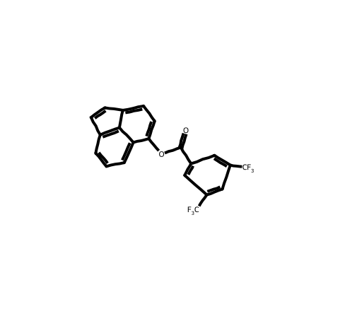 O=C(Oc1ccc2c3c(cccc13)C=C2)c1cc(C(F)(F)F)cc(C(F)(F)F)c1